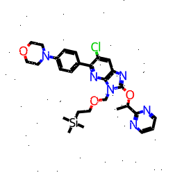 CC(Oc1nc2cc(Cl)c(-c3ccc(N4CCOCC4)cc3)nc2n1COCC[Si](C)(C)C)c1ncccn1